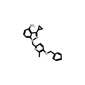 Cc1nc(Cn2nc(C3CC3)c3c([N+](=O)[O-])cccc32)ccc1OCc1ccccc1